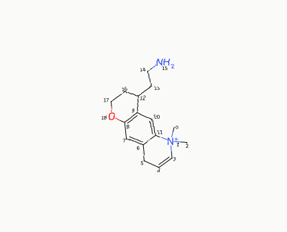 C[N+]1(C)C=CCc2cc3c(cc21)C(CCN)CCO3